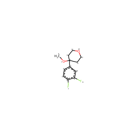 COC1(c2ccc(F)c(F)c2)CCOCC1